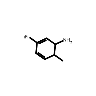 CC(C)C1=CC(N)C(C)C=C1